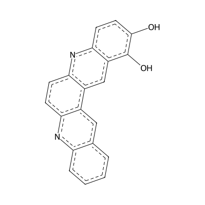 Oc1ccc2nc3ccc4nc5ccccc5cc4c3cc2c1O